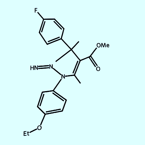 CCOc1ccc(N(N=N)/C(C)=C(/C(=O)OC)C(C)(C)c2ccc(F)cc2)cc1